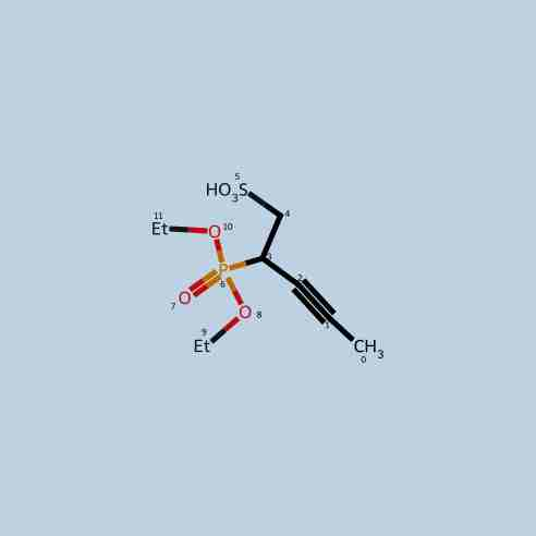 CC#CC(CS(=O)(=O)O)P(=O)(OCC)OCC